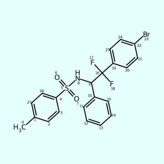 Cc1ccc(S(=O)(=O)NC(c2ccccc2)C(F)(F)c2ccc(Br)cc2)cc1